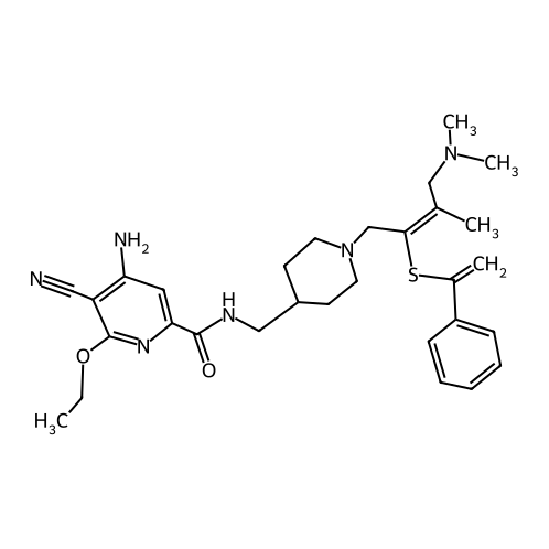 C=C(S/C(CN1CCC(CNC(=O)c2cc(N)c(C#N)c(OCC)n2)CC1)=C(\C)CN(C)C)c1ccccc1